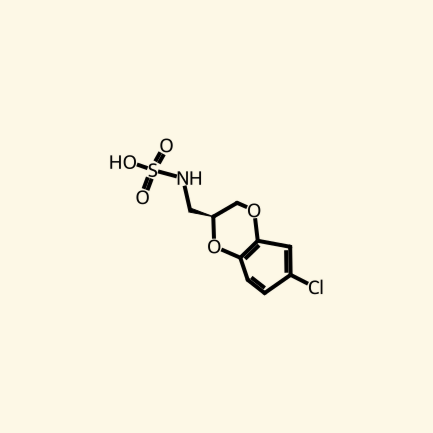 O=S(=O)(O)NC[C@H]1COc2cc(Cl)ccc2O1